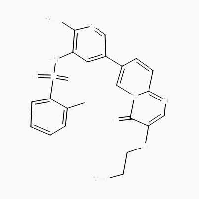 COCCOc1cnc2ccc(-c3cnc(OC)c(NS(=O)(=O)c4ccccc4F)c3)cn2c1=O